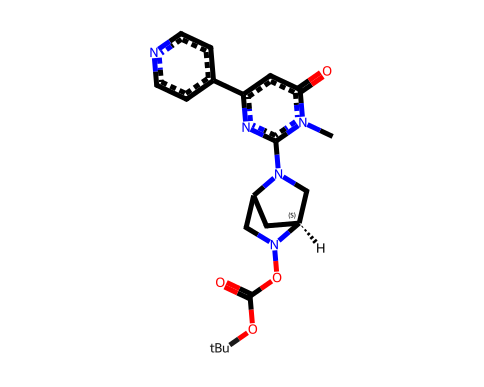 Cn1c(N2C[C@@H]3CC2CN3OC(=O)OC(C)(C)C)nc(-c2ccncc2)cc1=O